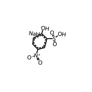 O=[N+]([O-])c1ccc(O)c(S(=O)(=O)O)c1.[NaH]